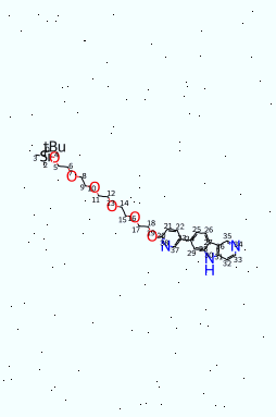 CC(C)(C)[Si](C)(C)OCCOCCOCCOCCOCCOc1ccc(-c2ccc3c(c2)[nH]c2ccncc23)cn1